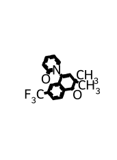 CC1(C)C=C(n2ccccc2=O)c2cc(C(F)(F)F)ccc2C1=O